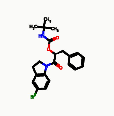 CC(C)(C)NC(=O)O[C@@H](Cc1ccccc1)C(=O)N1CCc2cc(Br)ccc21